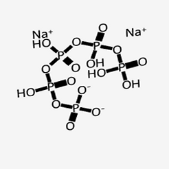 O=P([O-])([O-])OP(=O)(O)OP(=O)(O)OP(=O)(O)OP(=O)(O)O.[Na+].[Na+]